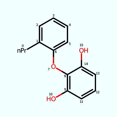 CCCc1ccccc1Oc1c(O)cccc1O